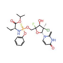 C=C1NC(=O)C=CN1[C@@H]1O[C@](F)(COP(=S)(N[C@@H](CC)C(=O)OC(C)C)Oc2ccccc2)[C@@H](O)[C@@]1(C)Cl